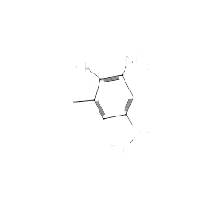 O=[N+]([O-])c1cc(OC(F)(F)F)cc(Cl)c1Cl